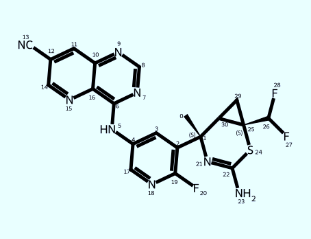 C[C@]1(c2cc(Nc3ncnc4cc(C#N)cnc34)cnc2F)N=C(N)S[C@@]2(C(F)F)CC21